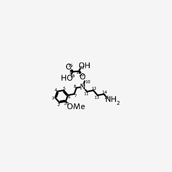 COc1ccccc1CCN(C)CCCCN.O=C(O)C(=O)O